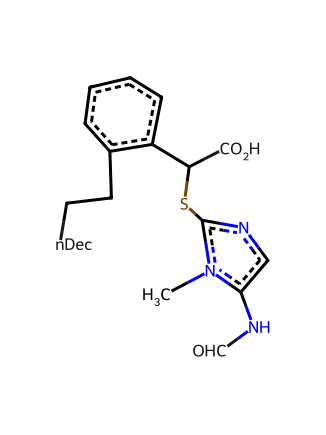 CCCCCCCCCCCCc1ccccc1C(Sc1ncc(NC=O)n1C)C(=O)O